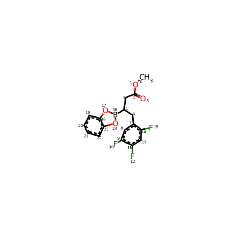 COC(=O)CC(Cc1cc(F)c(F)cc1F)B1Oc2ccccc2O1